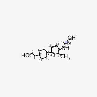 Cc1cc(N2CCC(CCO)CC2)ccc1N/C=N/O